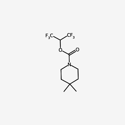 CC1(C)CCN(C(=O)OC(C(F)(F)F)C(F)(F)F)CC1